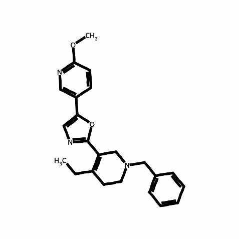 CCC1=C(c2ncc(-c3ccc(OC)nc3)o2)CN(Cc2ccccc2)CC1